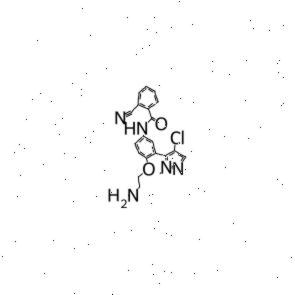 Cn1ncc(Cl)c1-c1cc(NC(=O)c2ccccc2C#N)ccc1OCCN